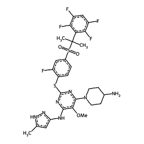 COc1c(Nc2cc(C)[nH]n2)nc(Sc2ccc(S(=O)(=O)C(C)(C)c3c(F)c(F)cc(F)c3F)cc2F)nc1N1CCC(N)CC1